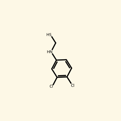 SCNc1ccc(Cl)c(Cl)c1